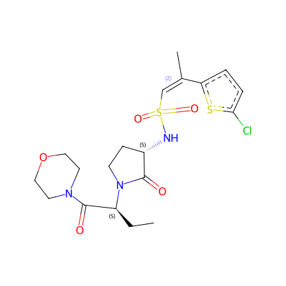 CC[C@@H](C(=O)N1CCOCC1)N1CC[C@H](NS(=O)(=O)/C=C(/C)c2ccc(Cl)s2)C1=O